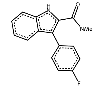 CNC(=O)c1[nH]c2ccccc2c1-c1ccc(F)cc1